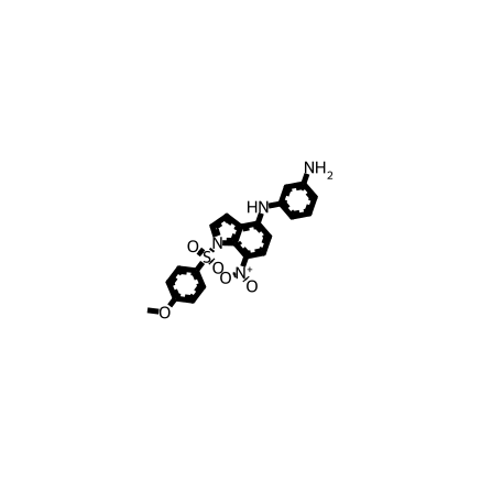 COc1ccc(S(=O)(=O)n2ccc3c(Nc4cccc(N)c4)ccc([N+](=O)[O-])c32)cc1